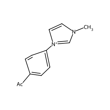 CC(=O)c1ccc(-[n+]2ccn(C)c2)cc1